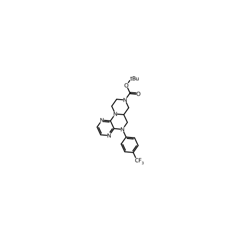 CC(C)(C)OC(=O)N1CCN2c3nccnc3N(c3ccc(C(F)(F)F)cc3)CC2C1